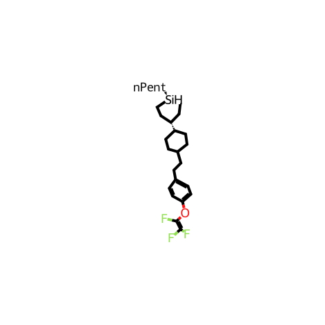 CCCCC[Si@H]1CC[C@H](C2CCC(CCc3ccc(OC(F)=C(F)F)cc3)CC2)CC1